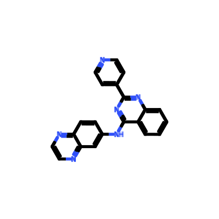 c1ccc2c(Nc3ccc4nccnc4c3)nc(-c3ccncc3)nc2c1